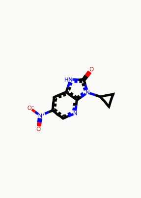 O=c1[nH]c2cc([N+](=O)[O-])cnc2n1C1CC1